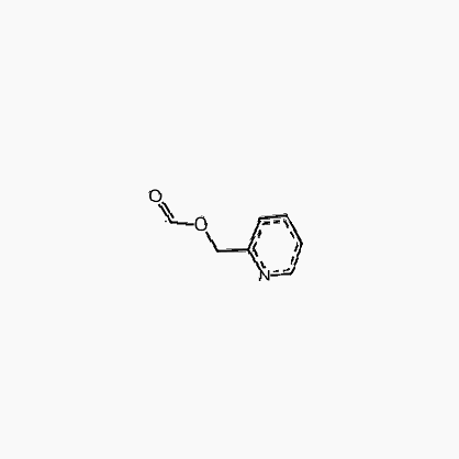 O=[C]OCc1ccccn1